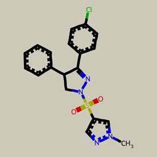 Cn1cc(S(=O)(=O)N2CC(c3ccccc3)C(c3ccc(Cl)cc3)=N2)cn1